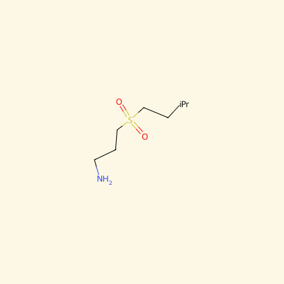 CC(C)CCS(=O)(=O)CCCN